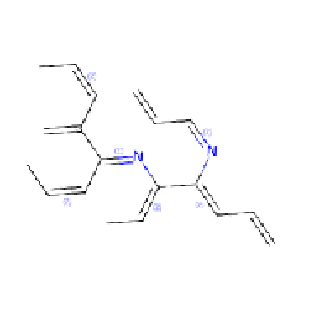 C=C\C=N/C(=C\C=C)C(=C/C)/N=C(\C=C/C)C(=C)/C=C\C